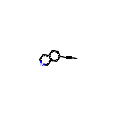 CC#Cc1ccc2ccn[c]c2c1